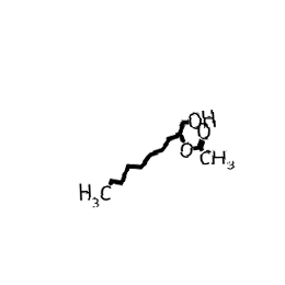 CCCCCCCCC(CO)OC(C)=O